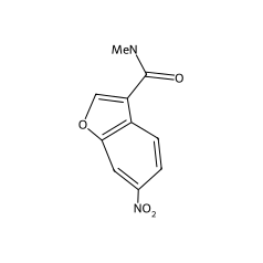 CNC(=O)c1coc2cc([N+](=O)[O-])ccc12